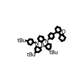 CC(C)(C)c1ccc(N2c3cc(C(C)(C)C)ccc3B3c4cc(C(C)(C)C)ccc4N(c4ccc(-c5cccc6oc7ccccc7c56)cc4)c4cccc2c43)cc1